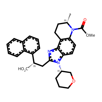 COC(=O)N1c2ccc3c(nc(C[C@H](C(=O)O)c4cccc5ccccc45)n3[C@H]3CCCOC3)c2CC[C@@H]1C